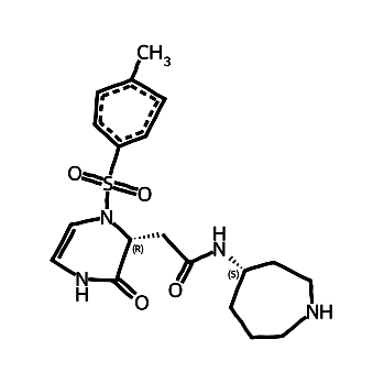 Cc1ccc(S(=O)(=O)N2C=CNC(=O)[C@H]2CC(=O)N[C@H]2CCCNCC2)cc1